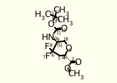 COC(=O)[C@@H]1CC(F)(F)[C@@H](NC(=O)OC(C)(C)C)CO1